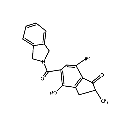 CC(C)c1cc(C(=O)N2Cc3ccccc3C2)c(O)c2c1C(=O)C(C(F)(F)F)C2